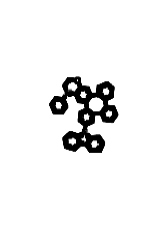 c1ccc(N2CCOc3cc4c(cc32)-c2ccc(-n3c5ccccc5c5ccccc53)cc2-c2ccccc2-c2ccccc2-4)cc1